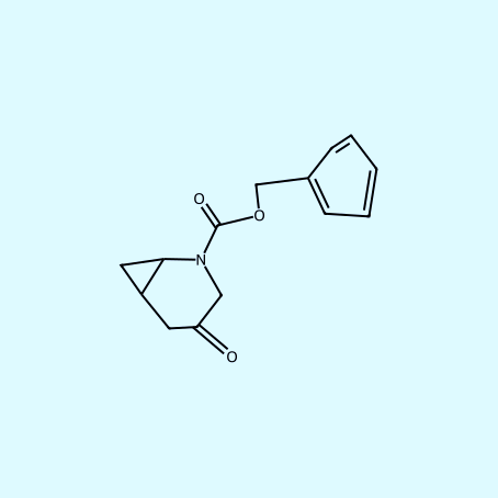 O=C1CC2CC2N(C(=O)OCc2ccccc2)C1